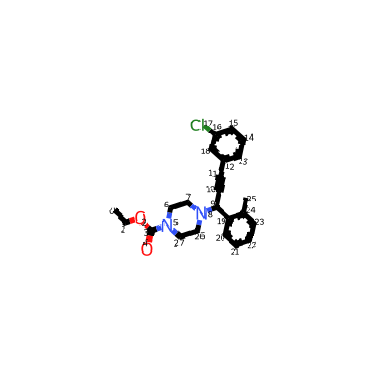 CCOC(=O)N1CCN(C(C#Cc2cccc(Cl)c2)c2ccccc2C)CC1